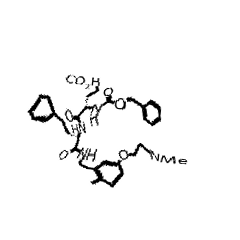 CNCCOc1ccc(C)c(CNC(=O)[C@H](CCc2ccccc2)NC(=O)[C@H](CCC(=O)O)NC(=O)OCc2ccccc2)c1